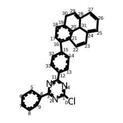 Clc1nc(-c2ccccc2)nc(-c2ccc(-c3ccc4c5c3C=CC3=CC=CC(=CC4)C35)cc2)n1